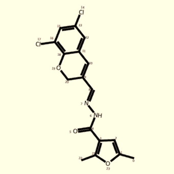 Cc1cc(C(=O)N/N=C/C2=Cc3cc(Cl)cc(Cl)c3OC2)c(C)o1